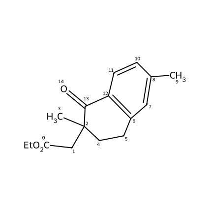 CCOC(=O)CC1(C)CCc2cc(C)ccc2C1=O